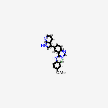 COc1ccc(Nc2ncnc3ccc(-c4c[nH]c5ncccc45)cc23)c(F)c1